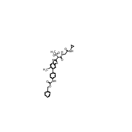 Cc1cc2nc(C(C(=O)NCC(=O)NC3CC3)S(C)(=O)=O)sc2cc1-c1ccc(NC(=O)OCc2ccccc2)cc1